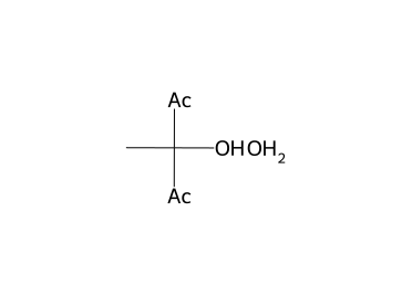 CC(=O)C(C)(O)C(C)=O.O